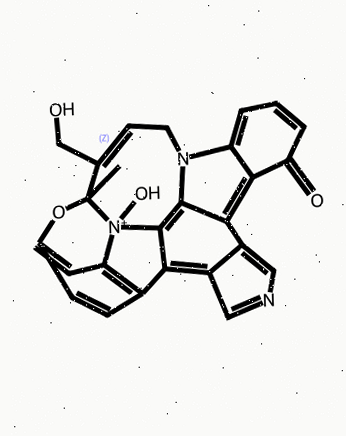 CC12Oc3ccc4c(c3)[N+]1(O)c1c-4c3c(c4c5c(n(c14)C/C=C\2CO)=CC=CC5=O)=CN=C3